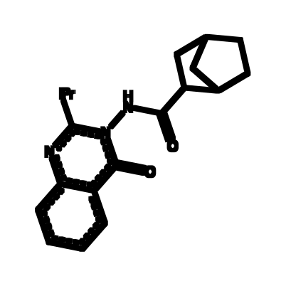 CC(C)c1nc2ccccc2c(=O)n1NC(=O)C1CC2CCC1C2